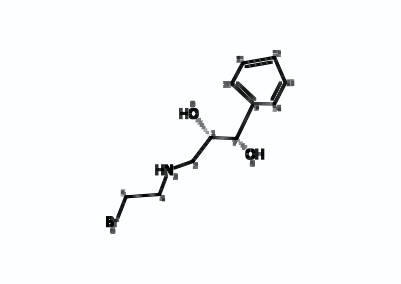 O[C@@H](CNCCBr)[C@@H](O)c1ccccc1